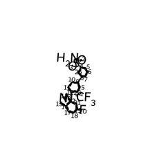 NS(=O)(=O)c1cccc(-c2ccc(-n3ncc4ccc(F)cc43)c(C(F)(F)F)c2)c1